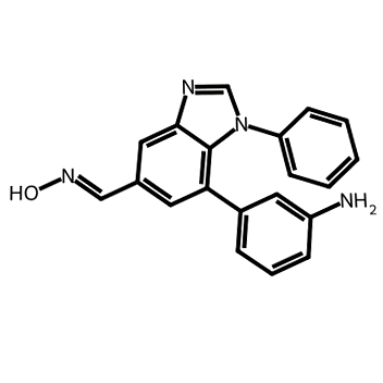 Nc1cccc(-c2cc(C=NO)cc3ncn(-c4ccccc4)c23)c1